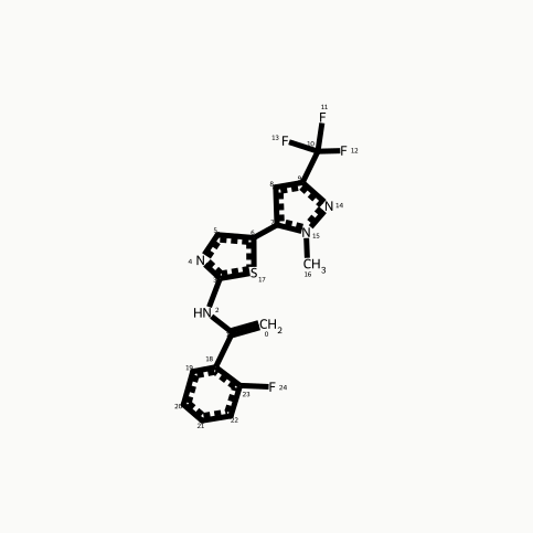 C=C(Nc1ncc(-c2cc(C(F)(F)F)nn2C)s1)c1ccccc1F